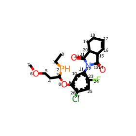 CCPC(CCOC)Oc1cc(N2C(=O)C3C=CCCC3C2=O)c(F)cc1Cl